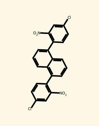 O=[N+]([O-])c1cc(Cl)ccc1-c1cccc2c(-c3ccc(Cl)cc3[N+](=O)[O-])cccc12